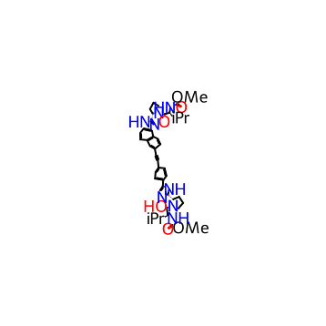 COC(=O)N[C@@H](C(C)C)C(O)N1CCC[C@H]1c1ncc(-c2ccc(C#Cc3ccc4c(ccc5[nH]c([C@@H]6CCCN6C(=O)[C@@H](NC(=O)OC)C(C)C)nc54)c3)cc2)[nH]1